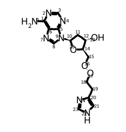 Nc1ncnc2c1ncn2[C@H]1C[C@H](O)[C@@H](COOCCc2c[nH]cn2)O1